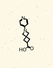 O=C(O)C1CC2(C1)CN(c1ccncc1)C2